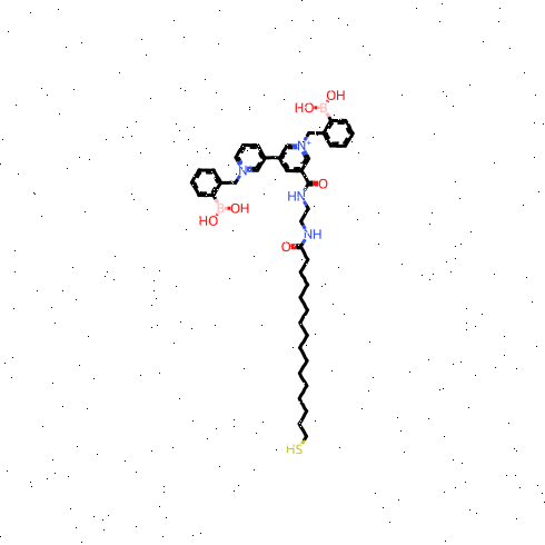 O=C(CCCCCCCCCCCCCCCS)NCCNC(=O)c1cc(-c2ccc[n+](Cc3ccccc3B(O)O)c2)c[n+](Cc2ccccc2B(O)O)c1